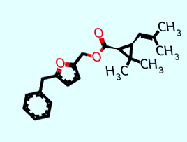 CC(C)=C[C@@H]1[C@H](C(=O)OCc2ccc(Cc3ccccc3)o2)C1(C)C